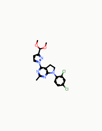 COC(OC)c1ccn(-c2nc(C)nc3c2CCN3c2ccc(Cl)cc2Cl)n1